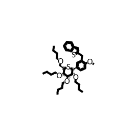 CCCCOC[C@H]1S[C@@H](c2ccc(OC)c(Cc3cc4ccccc4s3)c2)[C@H](OCCCC)[C@@H](OCCCC)[C@@H]1OCCCC